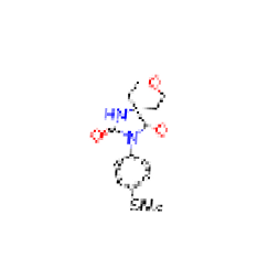 CSc1ccc(N2C(=O)NC3(CCOCC3)C2=O)cc1